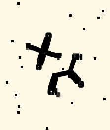 C=CC(=O)O.O=S(=O)(F)F